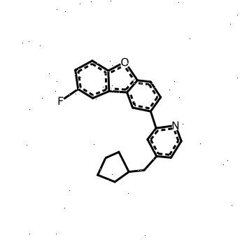 Fc1ccc2oc3ccc(-c4cc(CC5CCCC5)ccn4)cc3c2c1